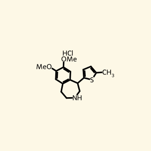 COc1cc2c(cc1OC)C(c1ccc(C)s1)CNCC2.Cl